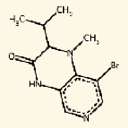 CC(C)C1C(=O)Nc2cncc(Br)c2N1C